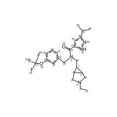 CCN1CC2C(C1)C2CN(Cc1cccc(OC(F)(F)F)c1)C(=O)c1cc(C(C)C)n[nH]1